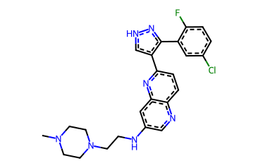 CN1CCN(CCNc2cnc3ccc(-c4c[nH]nc4-c4cc(Cl)ccc4F)nc3c2)CC1